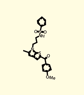 COc1ccc(C(=O)c2cc3cc(C)n(CCCNS(=O)(=O)c4ccccc4)c3s2)cc1